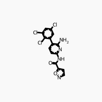 Nc1nc(NC(=O)c2ccno2)ccc1-c1cc(Cl)cc(Cl)c1Cl